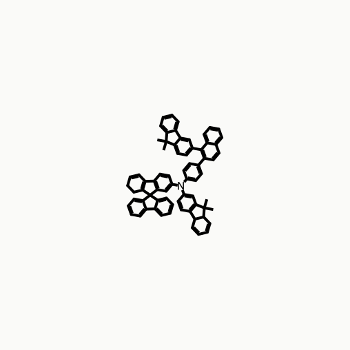 CC1(C)c2ccccc2-c2cc(-c3c(-c4ccc(N(c5ccc6c(c5)C5(C7=C6C=CCC7)c6ccccc6-c6ccccc65)c5ccc6c(c5)C(C)(C)C5C=CC=CC65)cc4)ccc4ccccc34)ccc21